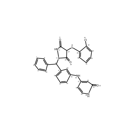 O=C1NN(C(c2ccccc2)c2cccc(Nc3cc[nH]c(=O)c3)c2)C(=O)C1Sc1ccccc1Cl